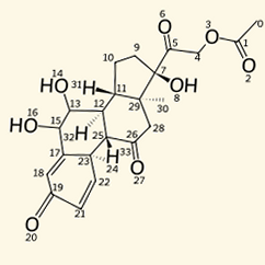 CC(=O)OCC(=O)[C@@]1(O)CC[C@H]2[C@@H]3C(O)C(O)C4=CC(=O)C=C[C@]4(C)[C@H]3C(=O)C[C@@]21C